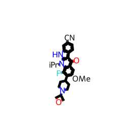 COc1cc2c(=O)c3c4ccc(C#N)cc4[nH]c3n(C(C)C)c2c(F)c1C1CCN(C2COC2)CC1